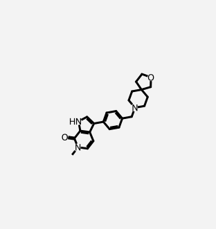 Cn1ccc2c(-c3ccc(CN4CCC5(CCOC5)CC4)cc3)c[nH]c2c1=O